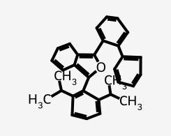 CC(C)c1cccc(C(C)C)c1-c1oc(-c2ccccc2-c2ccccc2)c2ccccc12